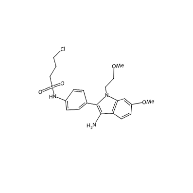 COCCn1c(-c2ccc(NS(=O)(=O)CCCCl)cc2)c(N)c2ccc(OC)cc21